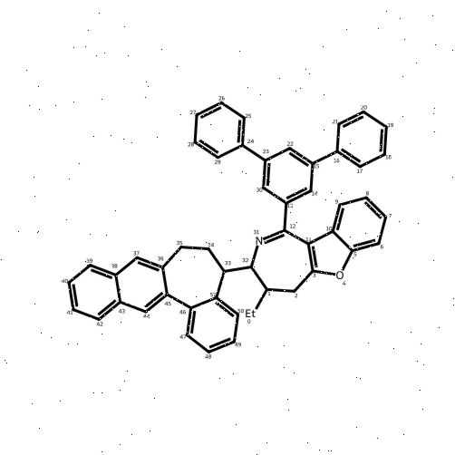 CCC1Cc2oc3ccccc3c2C(c2cc(-c3ccccc3)cc(-c3ccccc3)c2)=NC1C1CCc2cc3ccccc3cc2-c2ccccc21